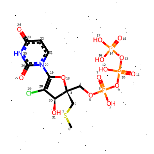 CSC[C@]1(COP(=O)(O)OP(=O)(O)OP(=O)(O)O)OC(n2ccc(=O)[nH]c2=O)=C(Cl)[C@@H]1O